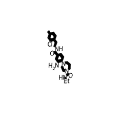 CCNC(=O)N1CCCN(c2ccc(C(=O)NCCc3ccc(C)cc3Cl)cc2N)CC1